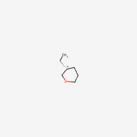 CC[C@@H]1CCCOC1